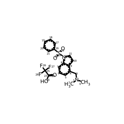 CN(C)Cc1cccc2c1ccn2S(=O)(=O)c1ccccc1.O=C(O)C(F)(F)F